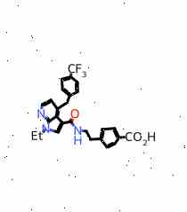 CCn1cc(C(=O)NCCc2ccc(C(=O)O)cc2)c2c(Cc3ccc(C(F)(F)F)cc3)ccnc21